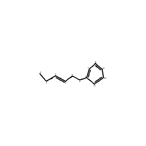 CCC=CC[CH]c1ccccc1